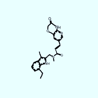 CCc1cccc2c(C)c(CN(C)C(=O)C=Cc3cnc4c(c3)OCC(=O)N4)[nH]c12